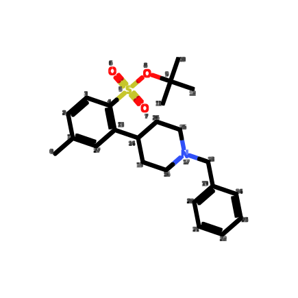 Cc1ccc(S(=O)(=O)OC(C)(C)C)c(C2CCN(Cc3ccccc3)CC2)c1